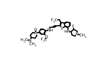 CN1CCC(Nc2cccc3c(CC(F)(F)F)c(C#CCNc4ccc(P5(=O)CCC(N(C)C)CC5)cc4OC(F)(F)F)sc23)C(F)C1